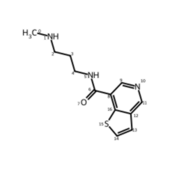 CNCCCNC(=O)c1cncc2ccsc12